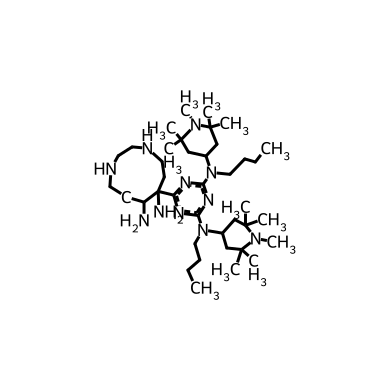 CCCCN(c1nc(N(CCCC)C2CC(C)(C)N(C)C(C)(C)C2)nc(C2(N)CCNCCNCCC2N)n1)C1CC(C)(C)N(C)C(C)(C)C1